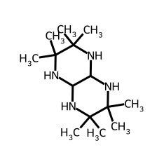 CC1(C)NC2NC(C)(C)C(C)(C)NC2NC1(C)C